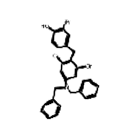 CC(C)c1cc(Cc2c(Cl)cc(N(Cc3ccccc3)Cc3ccccc3)cc2Br)ccc1O